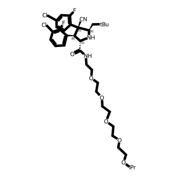 CC(C)OCCOCCOCCOCCOCCNC(=O)[C@H]1N[C@H](CC(C)(C)C)[C@@](C#N)(c2ccc(Cl)cc2F)[C@@H]1c1cccc(Cl)c1F